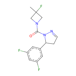 CC1(F)CN(C(=O)N2N=CCC2c2cc(F)cc(F)c2)C1